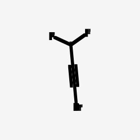 F[C](F)C#CBr